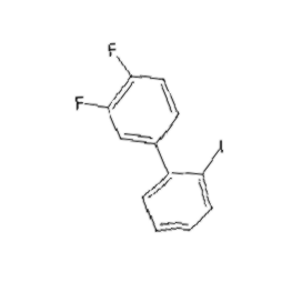 Fc1ccc(-c2ccccc2I)cc1F